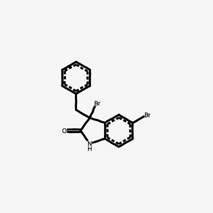 O=C1Nc2ccc(Br)cc2C1(Br)Cc1ccccc1